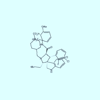 COC1=CC=CC(NC(=O)[C@H]2[C@H](c3cccc(Cl)c3F)[C@]3(CNc4ccc(Cl)cc43)[C@H](CC(C)(C)C)N2CC2CCC(C(=O)O)CC2)(C(=O)O)C1